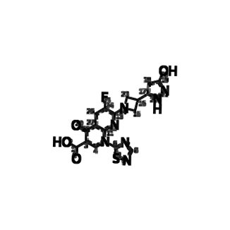 O=C(O)c1cn(-c2ncns2)c2nc(N3CC(c4cc(O)n[nH]4)C3)c(F)cc2c1=O